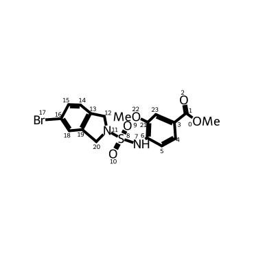 COC(=O)c1ccc(NS(=O)(=O)N2Cc3ccc(Br)cc3C2)c(OC)c1